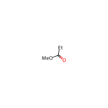 [CH2]CC(=O)O[CH2]